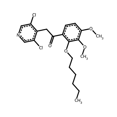 CCCCCCOc1c(C(=O)Cc2c(Cl)cncc2Cl)ccc(OC)c1OC